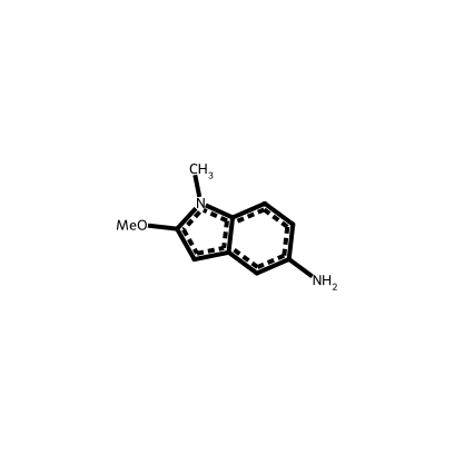 COc1cc2cc(N)ccc2n1C